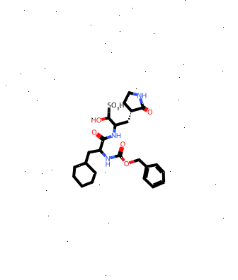 O=C(NC(CC1CCCCC1)C(=O)NC(C[C@@H]1CCNC1=O)C(O)S(=O)(=O)O)OCc1ccccc1